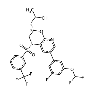 C[C](C)C[C@H]1CN(S(=O)(=O)c2cccc(C(F)(F)F)c2)c2cc(-c3cc(F)cc(OC(F)F)c3)cnc2O1